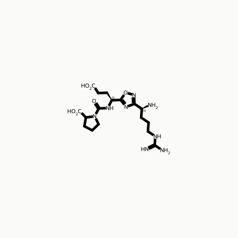 N=C(N)NCCC[C@H](N)c1noc([C@H](CCC(=O)O)NC(=O)N2CCCC2C(=O)O)n1